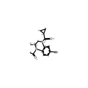 CC(=O)N1c2ccc(Br)cc2N(C(=O)C2CC2)C[C@@H]1C